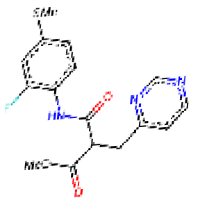 COC(=O)C(Cc1ccncn1)C(=O)Nc1ccc(SC)cc1F